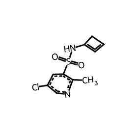 Cc1ncc(Cl)cc1S(=O)(=O)NC1=C=CC1